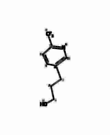 OCCCc1ccc(C(F)(F)F)nc1